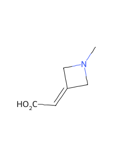 CN1CC(=CC(=O)O)C1